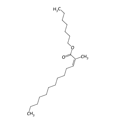 CCCCCCCCCCC=C(C)C(=O)OCCCCCCC